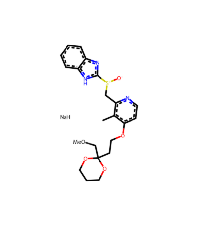 COCC1(CCOc2ccnc(C[S+]([O-])c3nc4ccccc4[nH]3)c2C)OCCCO1.[NaH]